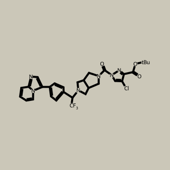 CC(C)(C)OC(=O)c1nn(C(=O)N2CC3CN(C(c4ccc(-c5cnc6ccccn56)cc4)C(F)(F)F)CC3C2)cc1Cl